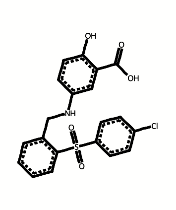 O=C(O)c1cc(NCc2ccccc2S(=O)(=O)c2ccc(Cl)cc2)ccc1O